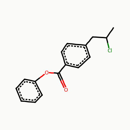 CC(Cl)Cc1ccc(C(=O)Oc2ccccc2)cc1